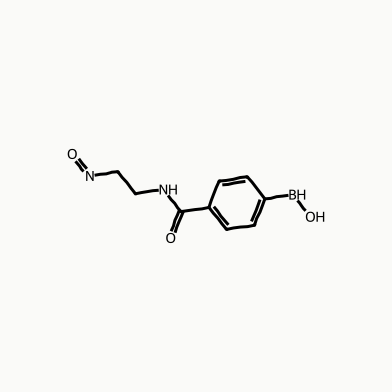 O=NCCNC(=O)c1ccc(BO)cc1